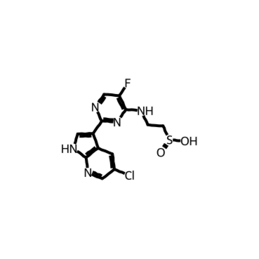 O=S(O)CCNc1nc(-c2c[nH]c3ncc(Cl)cc23)ncc1F